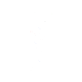 O=C(NCc1cc(F)cc(Cl)c1)[C@@]1(O)CCN(c2ccc(NS(=O)(=O)C3CC3)cc2)C1=O